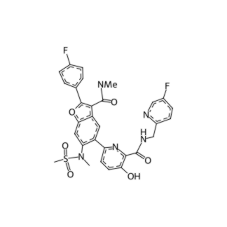 CNC(=O)c1c(-c2ccc(F)cc2)oc2cc(N(C)S(C)(=O)=O)c(-c3ccc(O)c(C(=O)NCc4ccc(F)cn4)n3)cc12